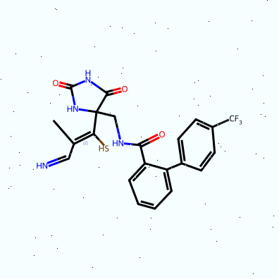 C/C(C=N)=C(/S)C1(CNC(=O)c2ccccc2-c2ccc(C(F)(F)F)cc2)NC(=O)NC1=O